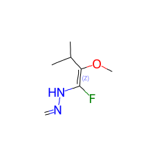 C=NN/C(F)=C(/OC)C(C)C